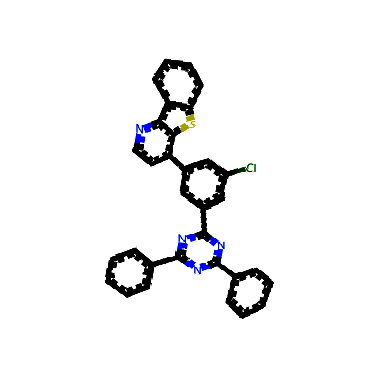 Clc1cc(-c2nc(-c3ccccc3)nc(-c3ccccc3)n2)cc(-c2ccnc3c2sc2ccccc23)c1